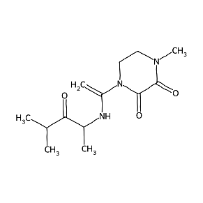 C=C(NC(C)C(=O)C(C)C)N1CCN(C)C(=O)C1=O